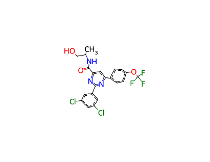 CC(CO)NC(=O)c1cc(-c2ccc(OC(F)(F)F)cc2)nc(-c2cc(Cl)cc(Cl)c2)n1